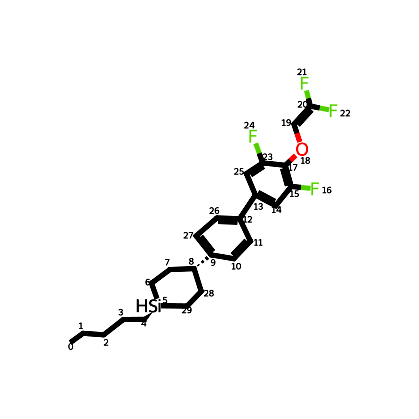 CCCCC[Si@H]1CC[C@H](c2ccc(-c3cc(F)c(OC=C(F)F)c(F)c3)cc2)CC1